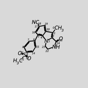 Cc1c2n(c3c(-c4ccc(S(C)(=O)=O)cc4)cc(C#N)cc13)CCNC2=O